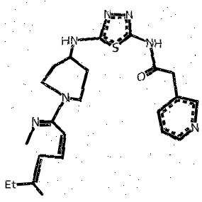 CC/C(C)=C/C=C\C(=N/C)N1CCC(Nc2nnc(NC(=O)Cc3cccnc3)s2)CC1